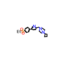 CCS(=O)(=O)c1ccc(-c2ccc(CN3CCN(C4CCC4)CC3)nc2)cc1